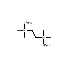 CCCCC[N+](C)(C)CC[N+](C)(C)CCCCC